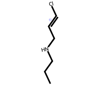 CCCNC/C=C/Cl